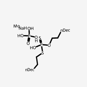 CCCCCCCCCCCCOP(O)(=S)SCCCCCCCCCCCC.O=P(O)(O)O.[Mo].[NaH]